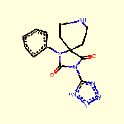 O=C1N(c2nnn[nH]2)C(=O)C2(CCNCC2)N1c1ccccc1